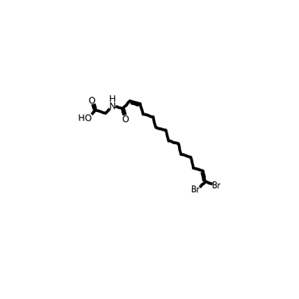 O=C(O)CNC(=O)/C=C\CCCCCCCCCC=C(Br)Br